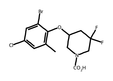 Cc1cc(Cl)cc(Br)c1OC1CN(C(=O)O)CC(F)(F)C1